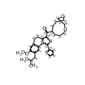 COc1cc2c(cc1CC(C)C)-n1c(-c3cccs3)nc(C(=O)C3CCCOCC4(CC3)COC4)c1CC2